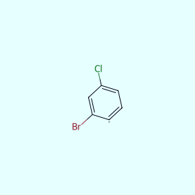 Clc1cc[c]c(Br)c1